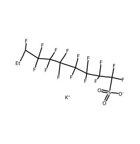 CCC(F)C(F)(F)C(F)(F)C(F)(F)C(F)(F)C(F)(F)C(F)(F)C(F)(F)S(=O)(=O)[O-].[K+]